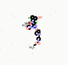 C#Cc1c(F)ccc2cc(O)cc(-c3nc(OC)c4c(N5CCOC[C@@](C)(O)C5)nc(OC[C@]56CCC[C@H]5N(CC5CCN(C(=O)OCCC)CC5)CCC6)nc4c3F)c12